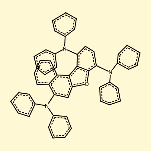 c1ccc(N(c2ccccc2)c2cc3oc4c(N(c5ccccc5)c5ccccc5)ccc(N(c5ccccc5)c5ccccc5)c4c3c3ccccc23)cc1